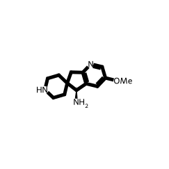 COc1cnc2c(c1)[C@@H](N)C1(CCNCC1)C2